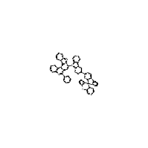 c1ccc(-c2nc3ccccc3c3c2cc(-n2c4ccccc4c4cc(-c5ccc6c(c5)C5(c7ccccc7Oc7ccccc75)c5ccccc5-6)ccc42)c2oc4ccccc4c23)cc1